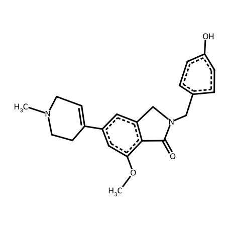 COc1cc(C2=CCN(C)CC2)cc2c1C(=O)N(Cc1ccc(O)cc1)C2